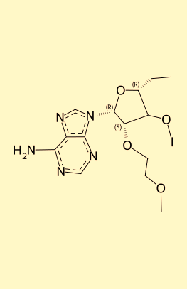 CC[C@H]1O[C@@H](n2cnc3c(N)ncnc32)[C@@H](OCCOC)C1OI